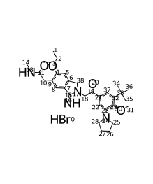 Br.CCOc1cc2c(cc1CC(=O)NC)C(=N)N(CC(=O)c1cc(N3CCCC3)c(OC)c(C(C)(C)C)c1)C2